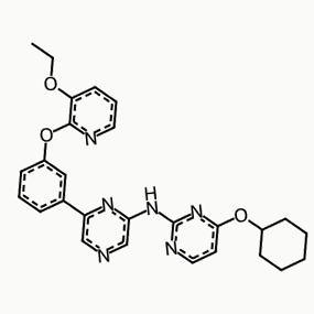 CCOc1cccnc1Oc1cccc(-c2cncc(Nc3nccc(OC4CCCCC4)n3)n2)c1